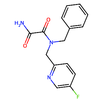 NC(=O)C(=O)N(Cc1ccccc1)Cc1ccc(F)cn1